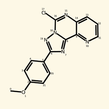 COc1ccc(-c2nc3c4ncccc4nc(Cl)n3n2)cc1